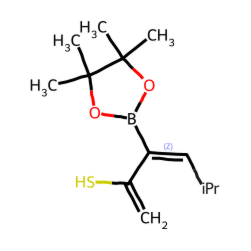 C=C(S)/C(=C\C(C)C)B1OC(C)(C)C(C)(C)O1